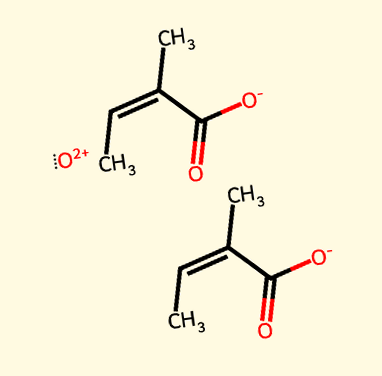 CC=C(C)C(=O)[O-].CC=C(C)C(=O)[O-].[O+2]